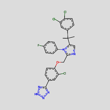 CC(C)(c1ccc(Cl)c(Cl)c1)c1cnc(COc2ccc(-c3nn[nH]n3)cc2Cl)n1-c1ccc(F)cc1